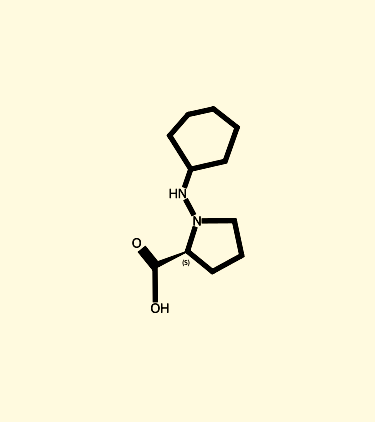 O=C(O)[C@@H]1CCCN1NC1CCCCC1